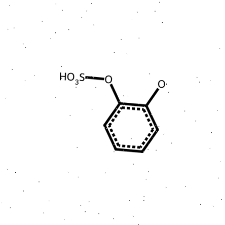 [O]c1ccccc1OS(=O)(=O)O